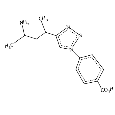 CC(N)CC(C)c1cn(-c2ccc(C(=O)O)cc2)nn1